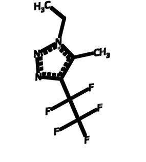 CCn1nnc(C(F)(F)C(F)(F)F)c1C